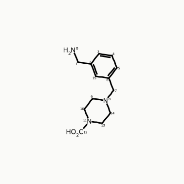 NCc1cccc(CN2CCN(C(=O)O)CC2)c1